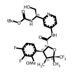 COc1c([C@H]2[C@H](C(=O)Nc3ccnc([C@H](CO)NC(=O)OC(C)(C)C)c3)O[C@@](C)(C(F)(F)F)[C@H]2C)ccc(F)c1F